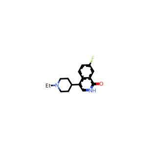 CCN1CCC(c2c[nH]c(=O)c3cc(F)ccc23)CC1